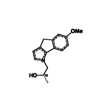 COc1ccc2c(c1)Cc1ccn(C[C@H](C)O)c1-2